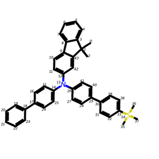 CC1(C)c2ccccc2-c2ccc(N(c3ccc(-c4ccccc4)cc3)c3ccc(-c4ccc(S(C)(C)C)cc4)cc3)cc21